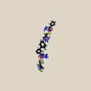 c1cc(-c2ccc(-n3cc(CSc4nnc(C5CCCC5)o4)nn3)cc2)cc(-c2nnc(SCc3cscn3)o2)c1